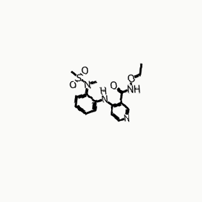 CCONC(=O)c1cnccc1Nc1ccccc1N(C)S(C)(=O)=O